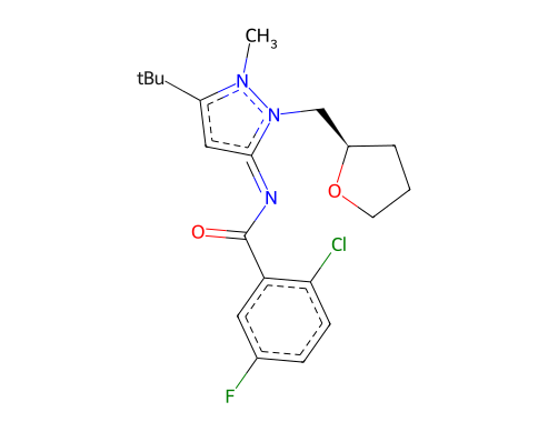 Cn1c(C(C)(C)C)c/c(=N\C(=O)c2cc(F)ccc2Cl)n1C[C@H]1CCCO1